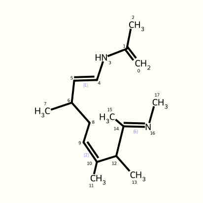 C=C(C)N/C=C/C(C)C/C=C(/C)C(C)/C(C)=N/C